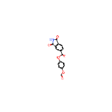 O=COc1ccc(OC(=O)c2ccc3c(c2)C(=O)NC3=O)cc1